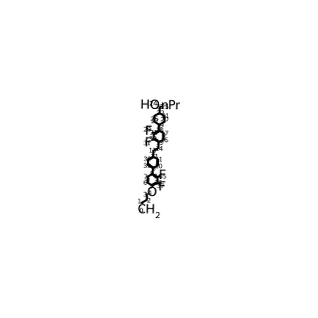 C=CCCOc1ccc(-c2ccc(CCc3ccc(C4CCC(C(O)CCC)CC4)c(F)c3F)cc2)c(F)c1F